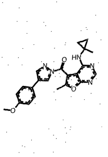 COc1ccc(-c2cnn(C(=O)c3c(C)oc4ncnc(NC5(C)CC5)c34)c2)cc1